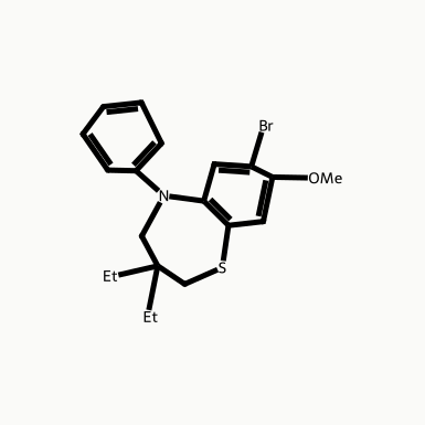 CCC1(CC)CSc2cc(OC)c(Br)cc2N(c2ccccc2)C1